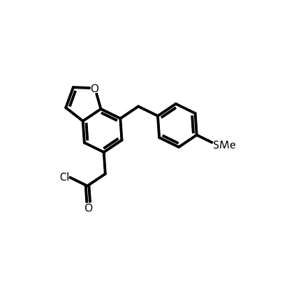 CSc1ccc(Cc2cc(CC(=O)Cl)cc3ccoc23)cc1